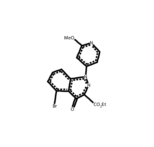 CCOC(=O)c1nn(-c2ccnc(OC)c2)c2cccc(Br)c2c1=O